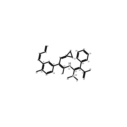 C=C/C=C\c1cc(/C(C=C2CC2)=C(\C)N/C(=C(/C(=C)C)c2ccccc2)N(C)C)ccc1C